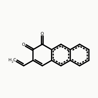 C=CC1=Cc2cc3ccccc3cc2C(=O)C1=O